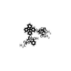 C=CC(=O)OCC(COc1ccc(C2(c3ccc(OCC(COC(=O)C=C)OC(C)(C)C(=O)CC)cc3)c3ccccc3-c3ccccc32)cc1)OC(=O)C1CC=CCC1C(=O)O